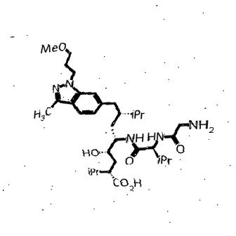 COCCCn1nc(C)c2ccc(C[C@@H](C[C@H](NC(=O)[C@@H](NC(=O)CN)C(C)C)[C@@H](O)C[C@H](C(=O)O)C(C)C)C(C)C)cc21